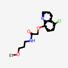 CCOCCCNC(=O)COc1ccc(Cl)c2cccnc12